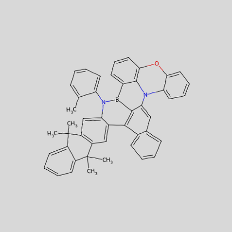 Cc1ccccc1N1B2c3cccc4c3N(c3ccccc3O4)c3cc4ccccc4c(c32)-c2cc3c(cc21)C(C)(C)c1ccccc1C3(C)C